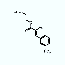 CCCCCCCCCCCCOC(=O)/C(=C/c1cccc([N+](=O)[O-])c1)C(C)=O